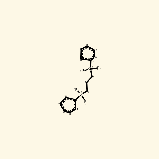 F[Si](F)(CCC[Si](F)(F)c1ccccc1)c1ccccc1